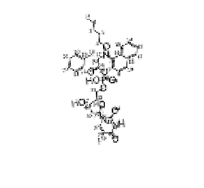 CCCCCON(c1cccc2ccccc12)[C@@H](Cc1ccccc1)C(=O)OP(=O)(O)OC[C@H]1O[C@@H](n2cc(F)c(=O)[nH]c2=O)C[C@@H]1O